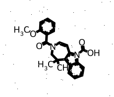 COc1ccccc1C(=O)N1C=Cc2c(c3ccccc3n2C(=O)O)C(C)(C)C1